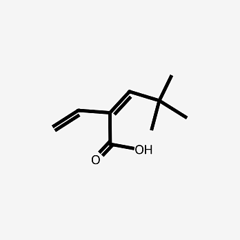 C=CC(=CC(C)(C)C)C(=O)O